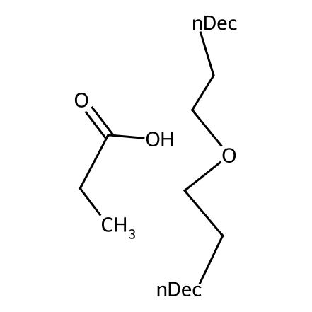 CCC(=O)O.CCCCCCCCCCCCOCCCCCCCCCCCC